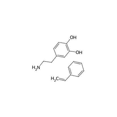 C=Cc1ccccc1.NCCc1ccc(O)c(O)c1